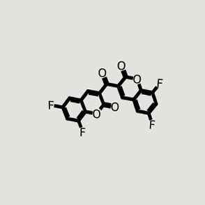 O=C(c1cc2cc(F)cc(F)c2oc1=O)c1cc2cc(F)cc(F)c2oc1=O